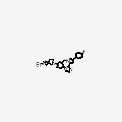 CCN1CC2(CCN(c3ccc4c(c3)Cn3cc(-c5ccc(F)cc5)cc3-c3nccn3-4)C2)C1